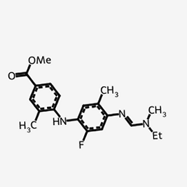 CCN(C)C=Nc1cc(F)c(Nc2ccc(C(=O)OC)cc2C)cc1C